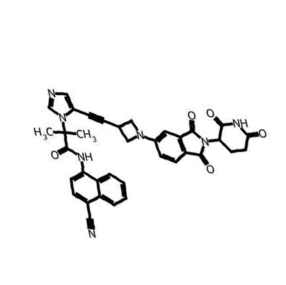 CC(C)(C(=O)Nc1ccc(C#N)c2ccccc12)n1cncc1C#CC1CN(c2ccc3c(c2)C(=O)N(C2CCC(=O)NC2=O)C3=O)C1